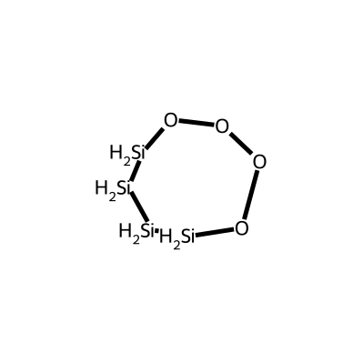 O1OO[SiH2][SiH2][SiH2][SiH2]O1